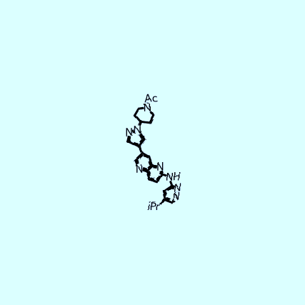 CC(=O)N1CCC(n2cc(-c3cnc4ccc(Nc5cc(C(C)C)cnn5)nc4c3)cn2)CC1